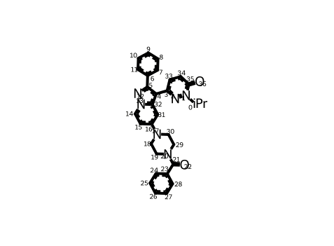 CC(C)n1nc(-c2c(-c3ccccc3)nn3ccc(N4CCN(C(=O)c5ccccc5)CC4)cc23)ccc1=O